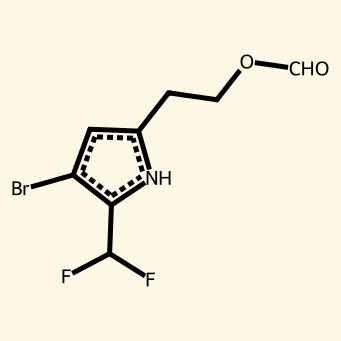 O=COCCc1cc(Br)c(C(F)F)[nH]1